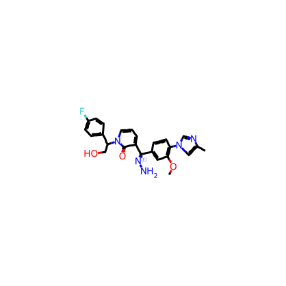 COc1cc(/C(=N\N)c2cccn(C(CO)c3ccc(F)cc3)c2=O)ccc1-n1cnc(C)c1